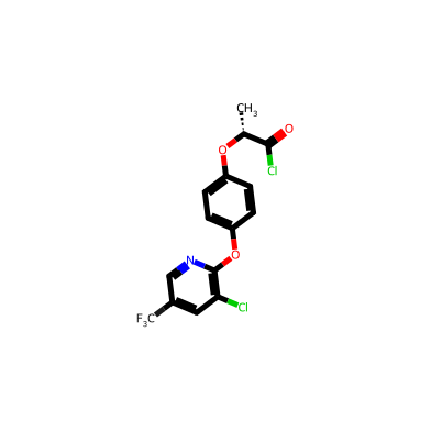 C[C@@H](Oc1ccc(Oc2ncc(C(F)(F)F)cc2Cl)cc1)C(=O)Cl